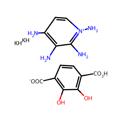 Nc1cc[n+](N)c(N)c1N.O=C([O-])c1ccc(C(=O)O)c(O)c1O.[KH].[KH]